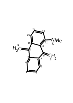 C=c1c2ccccc2c(=C)c2c(NC)cccc12